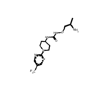 CC(N)CONC(=O)NC1CCN(c2ncc(C(F)(F)F)cn2)CC1